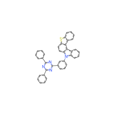 c1ccc(-c2nc(-c3ccccc3)nc(-c3cccc(-n4c5ccccc5c5c6c(ccc54)sc4ccccc46)c3)n2)cc1